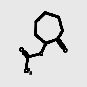 O=C1CCCCCN1OC(=O)C(F)(F)F